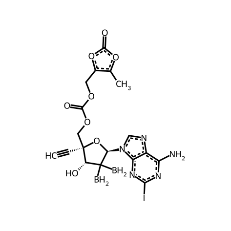 BC1(B)[C@H](n2cnc3c(N)nc(I)nc32)O[C@](C#C)(COC(=O)OCc2oc(=O)oc2C)[C@H]1O